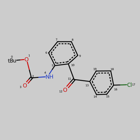 CC(C)(C)OC(=O)Nc1ccccc1C(=O)c1ccc(Cl)cc1